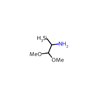 COC(OC)C(N)[SiH3]